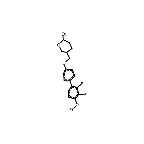 CCOc1ccc(-c2ccc(OCC3CCC(CC)OC3)cc2)c(F)c1F